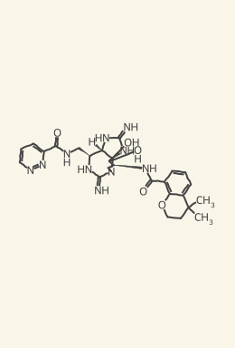 CC1(C)CCOc2c(C(=O)N[C@H]3CN4C(=N)N[C@@H](CNC(=O)c5cccnn5)[C@@H]5NC(=N)N[C@@]54C3(O)O)cccc21